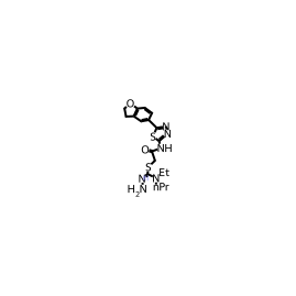 CCCN(CC)/C(=N\N)SCC(=O)Nc1nnc(-c2ccc3c(c2)CCO3)s1